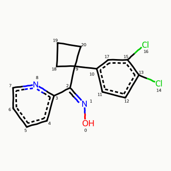 ON=C(c1ccccn1)C1(c2ccc(Cl)c(Cl)c2)CCC1